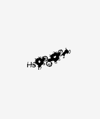 CCCOc1ccc(C(=O)Oc2ccc(S)c(F)c2)cc1